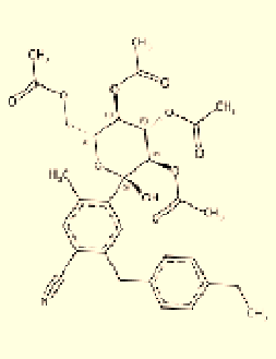 CCc1ccc(Cc2cc([C@]3(O)O[C@H](COC(C)=O)[C@@H](OC(C)=O)[C@H](OC(C)=O)[C@H]3OC(C)=O)c(C)cc2C#N)cc1